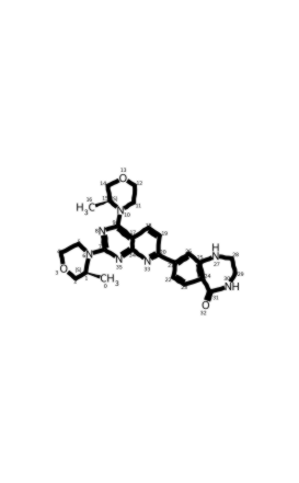 C[C@H]1COCCN1c1nc(N2CCOC[C@@H]2C)c2ccc(-c3ccc4c(c3)NCCNC4=O)nc2n1